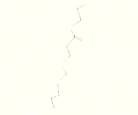 CCCOCPCCC(=O)OCCC